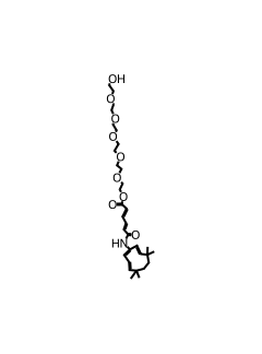 CC1(C)/C=C/C=C(NC(=O)/C=C/C=C/C(=O)OCCOCCOCCOCCOCCOCCO)\C=C\C(C)(C)CC1